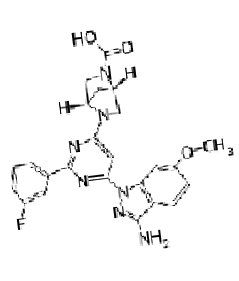 COc1ccc2c(N)nn(-c3cc(N4C[C@@H]5C[C@H]4CN5C(=O)O)nc(-c4cccc(F)c4)n3)c2c1